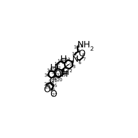 C[C@]12CC[C@H](N3CCOC(CN)C3)C[C@H]1CC[C@@H]1[C@@H]2CC[C@]2(C)[C@@H](C3=CC(=O)OC3)CC[C@]12O